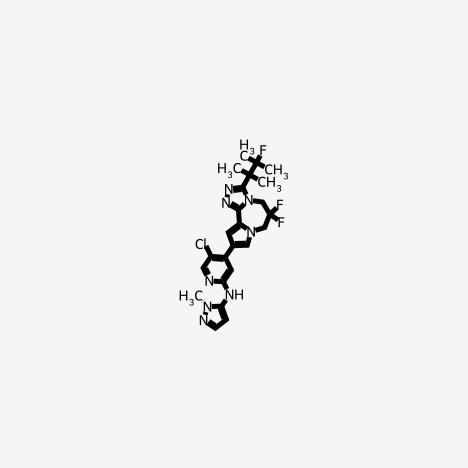 Cn1nccc1Nc1cc(-c2cc3n(c2)CC(F)(F)Cn2c-3nnc2C(C)(C)C(C)(C)F)c(Cl)cn1